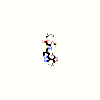 CCOC(=O)c1sc(-c2ccn3ncc(-c4c(C)noc4C)c3c2)nc1OC(F)F